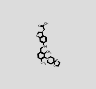 Cc1ccc(CNc2ccc3c(c2)OC[C@H]3CC(=O)O)c(C)c1N1CCC2(CC1)OCCO2